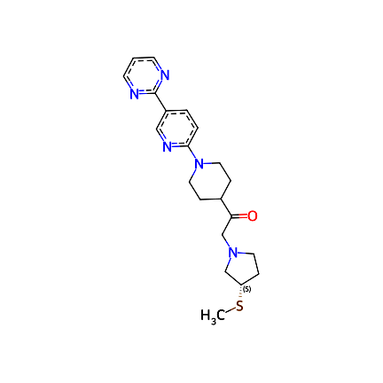 CS[C@H]1CCN(CC(=O)C2CCN(c3ccc(-c4ncccn4)cn3)CC2)C1